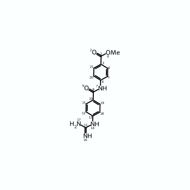 COC(=O)c1ccc(NC(=O)c2ccc(NC(=N)N)cc2)cc1